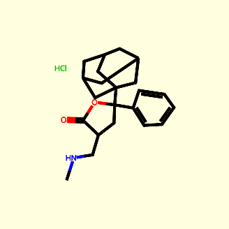 CNCC1CC(c2ccccc2)(C23CC4CC(CC(C4)C2)C3)OC1=O.Cl